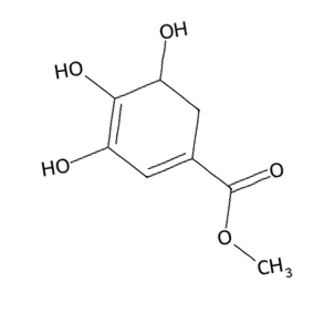 COC(=O)C1=CC(O)=C(O)C(O)C1